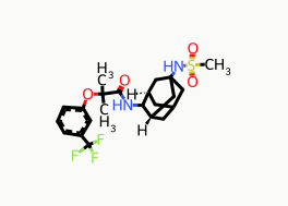 CC(C)(Oc1cccc(C(F)(F)F)c1)C(=O)NC1[C@@H]2CC3C[C@H]1CC(NS(C)(=O)=O)(C3)C2